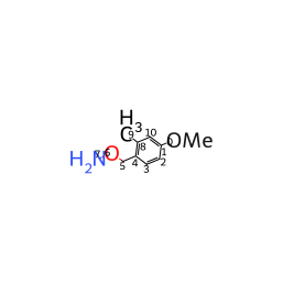 COc1ccc(CON)c(C)c1